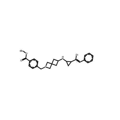 CC/C(=C\c1ccccc1)C1CC1NC1CC2(C1)CN(Cc1ccc(C(=O)OC(C)(C)C)cc1)C2